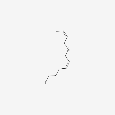 C/C=C\CSC/C=C\CCCI